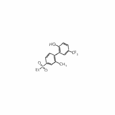 CCS(=O)(=O)c1ccc(-c2cc(C(F)(F)F)ccc2O)c(C)c1